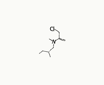 C=C(CCl)N(C)CC(C)CC